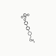 CCCC1CCC(c2ccc(-c3ccc(OCN4C(=O)C=CC4=O)cc3)cc2)CC1